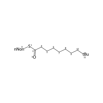 CCCCCCCCCSC(=O)CCCCCCCC(C)(C)C